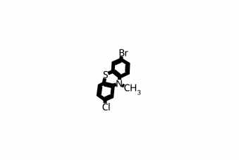 CN1c2ccc(Br)cc2Sc2ccc(Cl)cc21